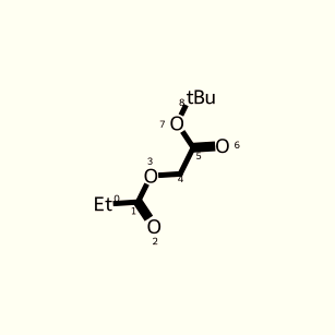 CCC(=O)OCC(=O)OC(C)(C)C